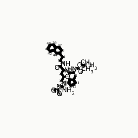 CC(C)(C)OC(=O)N[C@H](Cc1ccccc1)C(=O)NC(CCCNC(N)=N[N+](=O)[O-])C(=O)NCCc1ccc2ccccc2c1